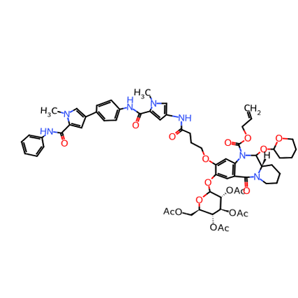 C=CCOC(=O)N1c2cc(OCCCC(=O)Nc3cc(C(=O)Nc4ccc(-c5cc(C(=O)Nc6ccccc6)n(C)c5)cc4)n(C)c3)c(OC3O[C@H](COC(C)=O)[C@@H](OC(C)=O)[C@H](OC(C)=O)[C@H]3OC(C)=O)cc2C(=O)N2CCCC[C@H]2C1OC1CCCCO1